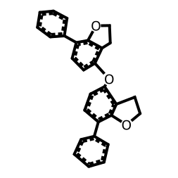 c1ccc(-c2ccc(Oc3ccc(-c4ccccc4)c4c3CCO4)c3c2OCC3)cc1